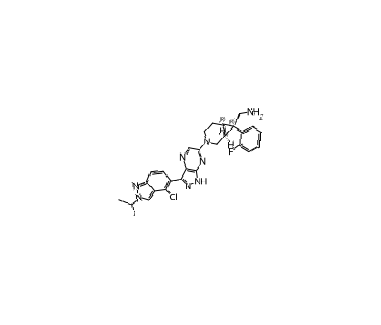 CC(C)n1cc2c(Cl)c(-c3n[nH]c4nc(N5CC[C@@H]6[C@H](C5)[C@@]6(CN)c5ccccc5F)cnc34)ccc2n1